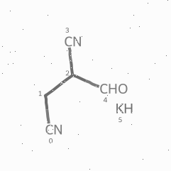 N#CCC(C#N)C=O.[KH]